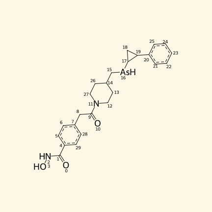 O=C(NO)c1ccc(CC(=O)N2CCC(C[AsH]C3CC3c3ccccc3)CC2)cc1